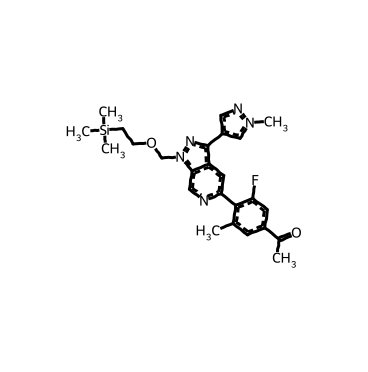 CC(=O)c1cc(C)c(-c2cc3c(-c4cnn(C)c4)nn(COCC[Si](C)(C)C)c3cn2)c(F)c1